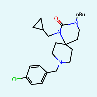 CCCCN1CCC2(CCN(Cc3ccc(Cl)cc3)CC2)N(CC2CC2)C1=O